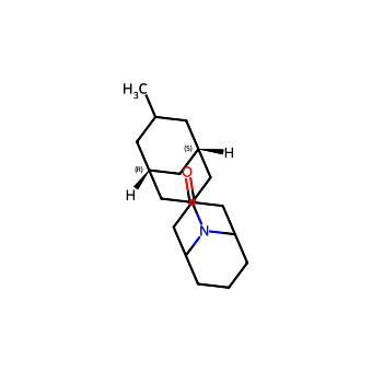 CC1C[C@@H]2CC(N3C4CCCC3CC(=O)C4)C[C@H](C1)C2